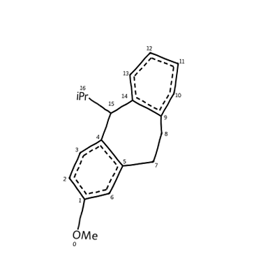 COc1ccc2c(c1)CCc1ccccc1C2C(C)C